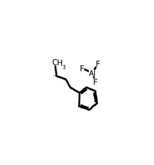 C[CH]CCc1ccccc1.[F][Al]([F])[F]